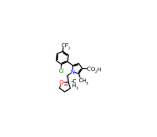 Cc1c(C(=O)O)cc(-c2cc(C(F)(F)F)ccc2Cl)n1C[C@@]1(C)CCCO1